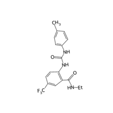 CCNC(=O)c1cc(C(F)(F)F)ccc1NC(=O)Nc1ccc(C)cc1